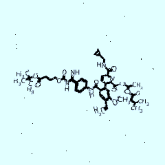 C=Cc1cc(C(=O)Nc2ccc(C(=N)NC(=O)OCCCC(=O)OC(C)(C)C)cc2)c(-c2ccc(C(=O)NCC3CC3)nc2C(=O)OC(C)OC(=O)CC(C)C)cc1OC